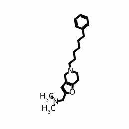 CN(C)Cc1cc2c(o1)CCN(CCCCCCc1ccccc1)C2